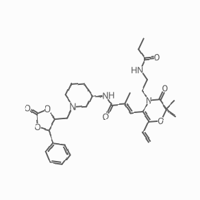 C=CC1=C(/C=C(\C)C(=O)N[C@@H]2CCCN(CC3OC(=O)OC3c3ccccc3)C2)N(CCNC(=O)CC)C(=O)C(C)(C)O1